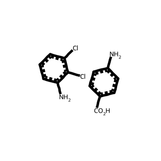 Nc1ccc(C(=O)O)cc1.Nc1cccc(Cl)c1Cl